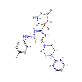 Cc1ccc(Nc2cc(N3CCN(c4ncccn4)CC3)nc(C3(C)CNCC(C)O3)n2)cc1